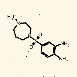 CN1CCCN(S(=O)(=O)c2ccc(N)c(N)c2)CC1